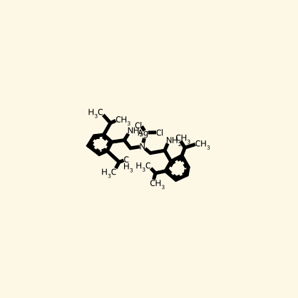 CC(C)c1cccc(C(C)C)c1C(N)C[N](CC(N)c1c(C(C)C)cccc1C(C)C)[Ag]([Cl])[Cl]